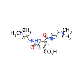 CN(C)CCCNC(=O)c1cc(C(=O)O)cc(C(=O)NCCCN(C)C)c1